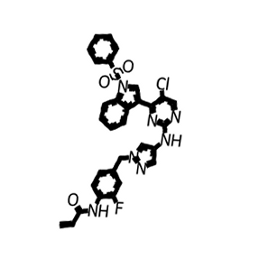 C=CC(=O)Nc1ccc(Cn2cc(Nc3ncc(Cl)c(-c4cn(S(=O)(=O)c5ccccc5)c5ccccc45)n3)cn2)cc1F